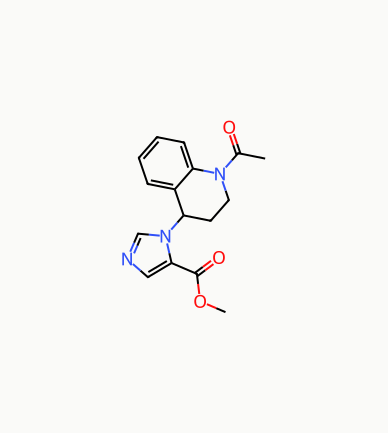 COC(=O)c1cncn1C1CCN(C(C)=O)c2ccccc21